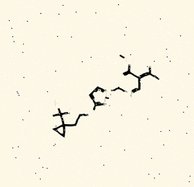 COC(=O)C(/C=N\Cn1ccc(OCCC2(C(F)(F)F)CC2)n1)=C(/C)Cl